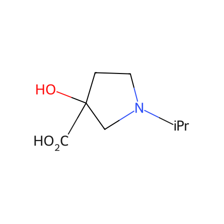 CC(C)N1CCC(O)(C(=O)O)C1